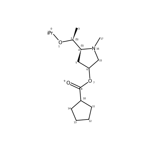 CC(C)O[C@@H](C)[C@@H]1CC(OC(=O)C2CCCC2)CN1C